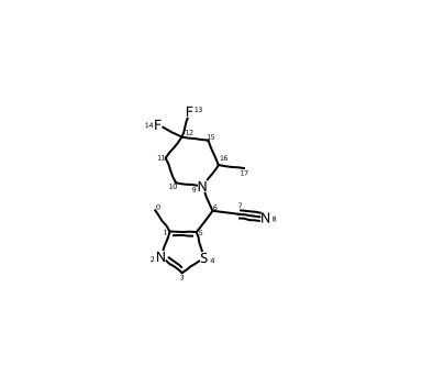 Cc1ncsc1C(C#N)N1CCC(F)(F)CC1C